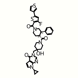 O=C(c1sc(-c2ccsc2)cc1F)N1CC[C@@H](C(=O)N2CCC(O)(Cn3cnc4c(ccn4C4CC4)c3=O)CC2)[C@H](c2ccccc2)C1